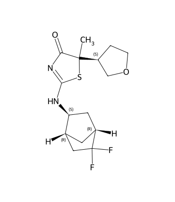 CC1([C@H]2CCOC2)SC(N[C@H]2C[C@H]3C[C@@H]2CC3(F)F)=NC1=O